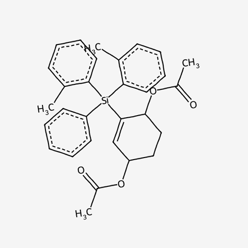 CC(=O)OC1C=C([Si](c2ccccc2)(c2ccccc2C)c2ccccc2C)C(OC(C)=O)CC1